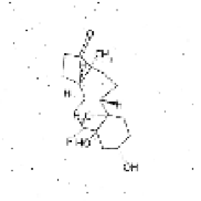 C[C@]12CC[C@H]3[C@@H](CC(F)C4(O)C[C@@H](O)CC[C@]34C)[C@@H]1CCC2=O